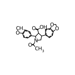 COc1ccc(C2C(C(=O)O)C(c3ccc4c(c3)OCO4)CN2C(C)=O)cc1